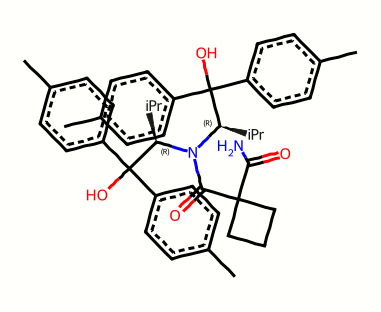 Cc1ccc(C(O)(c2ccc(C)cc2)[C@@H](C(C)C)N(C(=O)C2(C(N)=O)CCC2)[C@H](C(C)C)C(O)(c2ccc(C)cc2)c2ccc(C)cc2)cc1